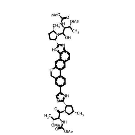 COC(=O)N[C@H](C(=O)N1C[C@@H](C)C[C@H]1c1ncc(-c2ccc3c(c2)COc2cc4c(ccc5nc([C@@H]6CC[C@H](C)N6C(O)[C@@H](NC(=O)OC)[C@@H](C)OC)[nH]c54)cc2-3)[nH]1)[C@@H](C)OC